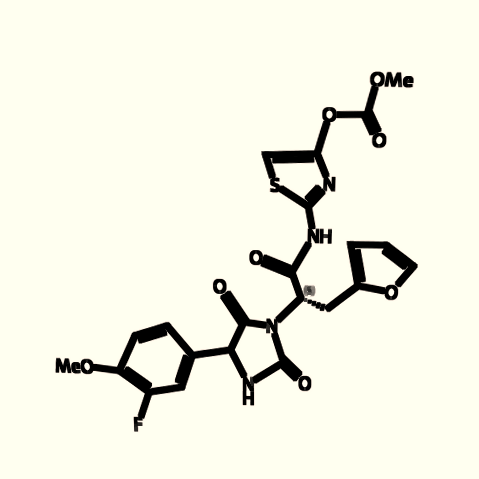 COC(=O)Oc1csc(NC(=O)[C@H](Cc2ccco2)N2C(=O)NC(c3ccc(OC)c(F)c3)C2=O)n1